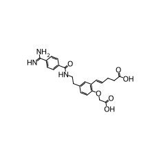 N=C(N)c1ccc(C(=O)NCCc2ccc(OCC(=O)O)c(/C=C/CCC(=O)O)c2)cc1